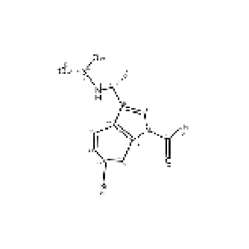 CC(C)C(=O)n1cc([C@@H](C)N[S@@+]([O-])C(C)(C)C)c2ccc(Br)cc21